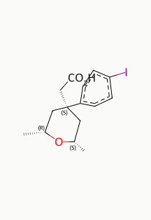 C[C@@H]1C[C@@](CC(=O)O)(c2ccc(I)cc2)C[C@H](C)O1